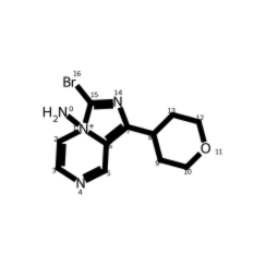 N[N+]12C=CN=CC1=C(C1CCOCC1)N=C2Br